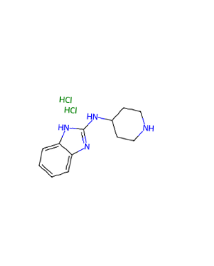 Cl.Cl.c1ccc2[nH]c(NC3CCNCC3)nc2c1